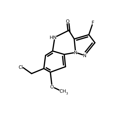 COc1cc2c(cc1CCl)[nH]c(=O)c1c(F)cnn12